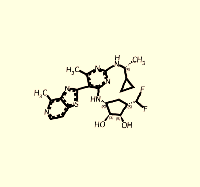 Cc1nc(N[C@H](C)C2CC2)nc(N[C@@H]2C[C@H](C(F)F)[C@@H](O)[C@H]2O)c1-c1nc2c(C)nccc2s1